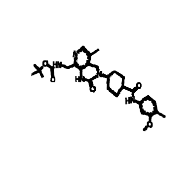 COc1cc(NC(=O)C2CCC(N3Cc4c(C)cnc(CNC(=O)OC(C)(C)C)c4NC3=O)CC2)ccc1C